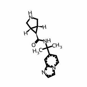 CC(C)(NC(=O)[C@H]1[C@@H]2CNC[C@@H]21)c1ccn2ccnc2c1